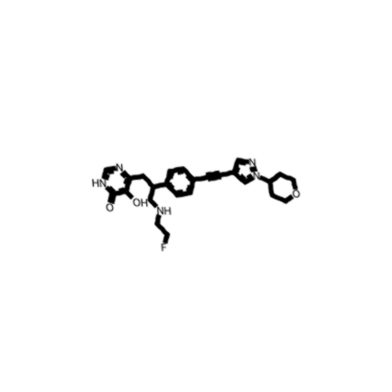 O=c1[nH]cnc(CC(CNCCF)c2ccc(C#Cc3cnn(C4CCOCC4)c3)cc2)c1O